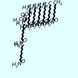 CCCCCCCCCC(N)=O.CCCCCCCCCC(N)=O.CCCCCCCCCC(N)=O.CCCCCCCCCC(N)=O.CCCCCCCCCC(N)=O.CCCCCCCCCC(N)=O.CCCCCCCCCC(N)=O.CCCCCCCCCC(N)=O.Cc1nccn1C(=O)O